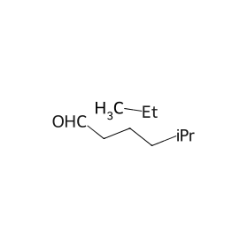 CC(C)CCCC=O.CCC